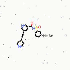 CC(=O)Nc1cccc(S(C)(=O)=NC(=O)c2cncc(C#Cc3ccncc3)c2)c1